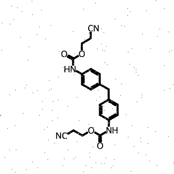 N#CCCOC(=O)Nc1ccc(Cc2ccc(NC(=O)OCCC#N)cc2)cc1